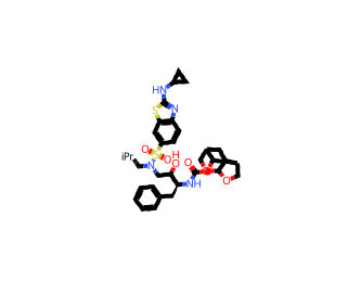 CC(C)CN(CC(O)[C@H](Cc1ccccc1)NC(=O)OC1C2COC3OCC1C3C2)S(=O)(=O)c1ccc2nc(NC3CC3)sc2c1